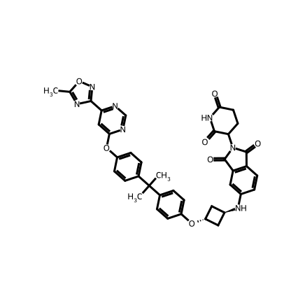 Cc1nc(-c2cc(Oc3ccc(C(C)(C)c4ccc(O[C@H]5C[C@H](Nc6ccc7c(c6)C(=O)N(C6CCC(=O)NC6=O)C7=O)C5)cc4)cc3)ncn2)no1